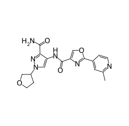 Cc1cc(-c2nc(C(=O)Nc3cn(C4CCOC4)nc3C(N)=O)co2)ccn1